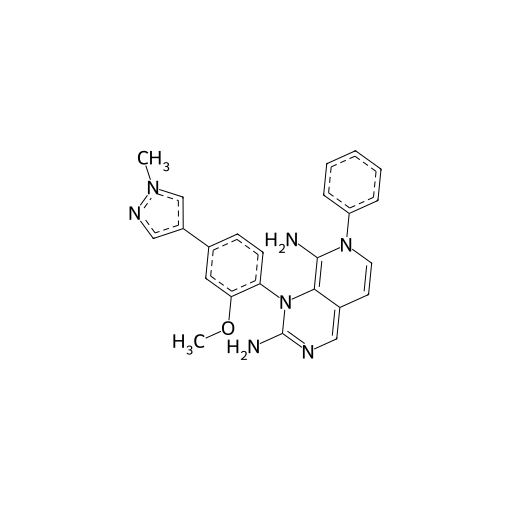 COc1cc(-c2cnn(C)c2)ccc1N1C(N)=NC=C2C=CN(c3ccccc3)C(N)=C21